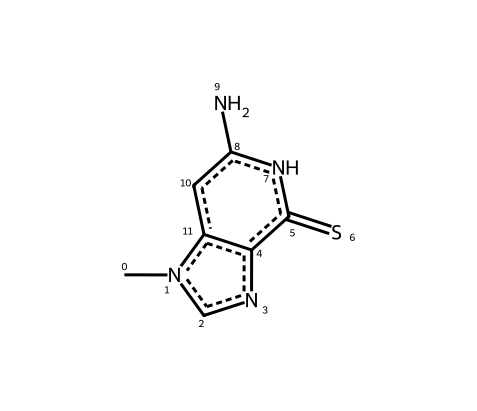 Cn1cnc2c(=S)[nH]c(N)cc21